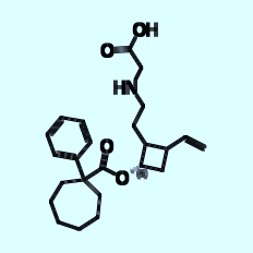 C=CC1C[C@H](OC(=O)C2(c3ccccc3)CCCCCC2)C1CCNCC(=O)O